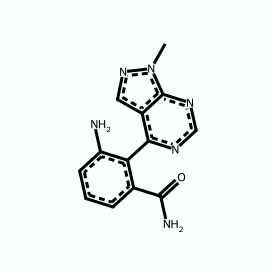 Cn1ncc2c(-c3c(N)cccc3C(N)=O)ncnc21